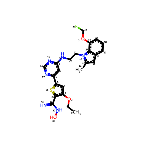 CCOc1cc(-c2cc(NCCn3c(C)cc4cccc(OCF)c43)ncn2)sc1C(=N)NO